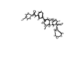 Cn1nc(-c2cccc(CC(=O)N3CCN(I)CC3)c2)cc(Nc2ccc(C(=O)N3CCOCC3)cn2)c1=O